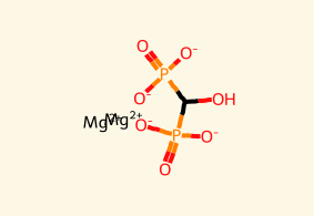 O=P([O-])([O-])C(O)P(=O)([O-])[O-].[Mg+2].[Mg+2]